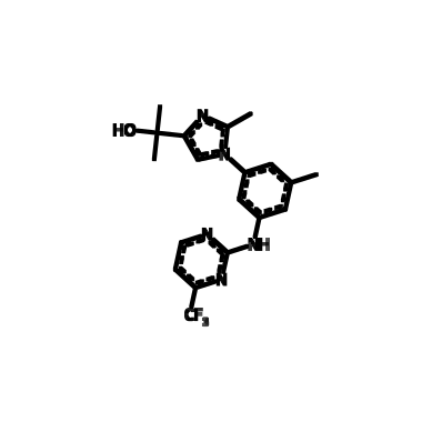 Cc1cc(Nc2nccc(C(F)(F)F)n2)cc(-n2cc(C(C)(C)O)nc2C)c1